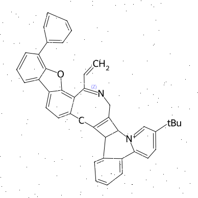 C=C/C1=N/CC2=C(Cc3ccc4c(oc5c(-c6ccccc6)cccc54)c31)C1c3ccccc3-c3ccc(C(C)(C)C)c[n+]3C21